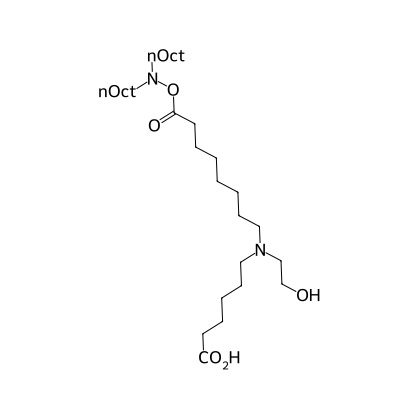 CCCCCCCCN(CCCCCCCC)OC(=O)CCCCCCCN(CCO)CCCCCC(=O)O